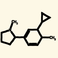 CC1C=CC(C2CCCN2C)=CC1C1CC1